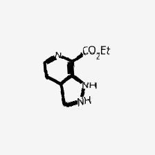 CCOC(=O)C1=C2NNCC2CC=N1